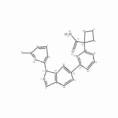 Cc1cccc(-n2ncc3ccc(-c4cccc(C5(C(N)=O)CCC5)n4)cc32)n1